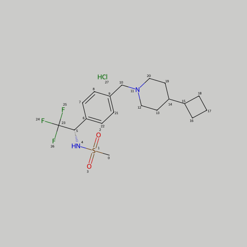 CS(=O)(=O)N[C@@H](c1ccc(CN2CCC(C3CCC3)CC2)cc1)C(F)(F)F.Cl